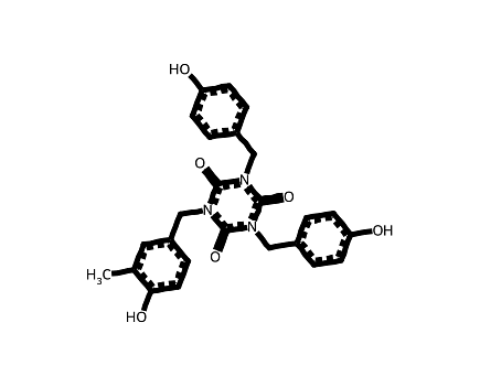 Cc1cc(Cn2c(=O)n(Cc3ccc(O)cc3)c(=O)n(Cc3ccc(O)cc3)c2=O)ccc1O